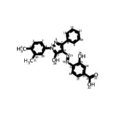 Cc1ccc(-n2nc(-c3ccccc3)c(N=Nc3ccc(C(=O)O)cc3O)c2O)cc1C